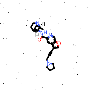 C[C@H]1[C@H](NC(=O)c2cc3c(C#CCN4CCCC4)coc3cn2)C2CCN1CC2